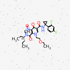 CCC[C@H](CC)N(C)C(=O)c1c(N=O)c(=O)c(C(=O)NC2(c3ccc(F)cc3F)CC2)cn1CCOCC